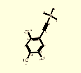 C[Si](C)(C)C#Cc1cc(Cl)c(O)cc1Cl